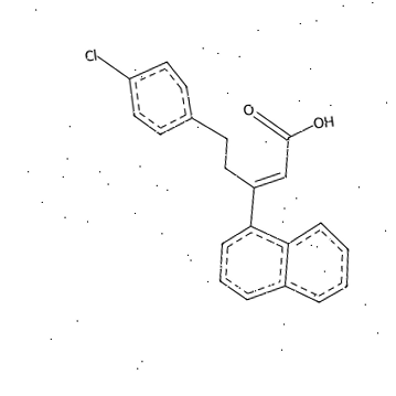 O=C(O)C=C(CCc1ccc(Cl)cc1)c1cccc2ccccc12